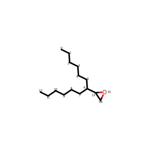 CCCCCCC(CCCCCC)C1CO1